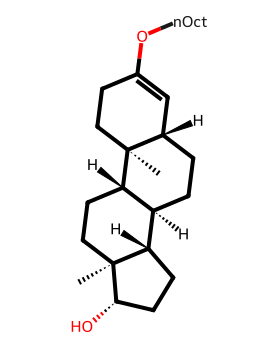 CCCCCCCCOC1=C[C@@H]2CC[C@@H]3[C@H](CC[C@]4(C)[C@@H](O)CC[C@@H]34)[C@@]2(C)CC1